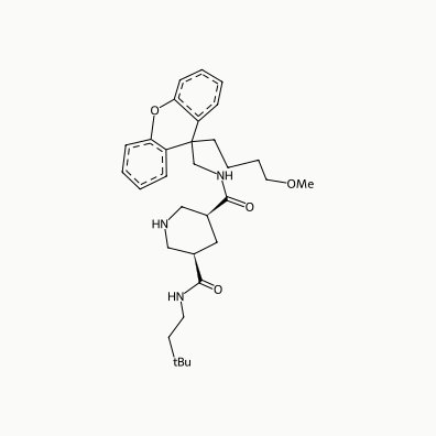 COCCCCC1(CNC(=O)[C@@H]2CNC[C@H](C(=O)NCCC(C)(C)C)C2)c2ccccc2Oc2ccccc21